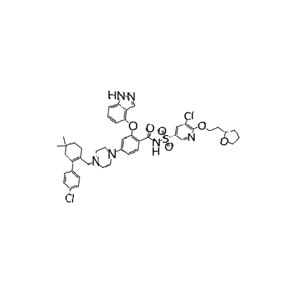 CC1(C)CCC(CN2CCN(c3ccc(C(=O)NS(=O)(=O)c4cnc(OCCC5CCCO5)c(Cl)c4)c(Oc4cccc5[nH]ncc45)c3)CC2)=C(c2ccc(Cl)cc2)C1